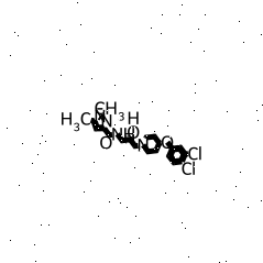 Cc1cc(C(=O)NC[C@@H](O)CN2CCC(Oc3ccc(Cl)c(Cl)c3)CC2)nn1C